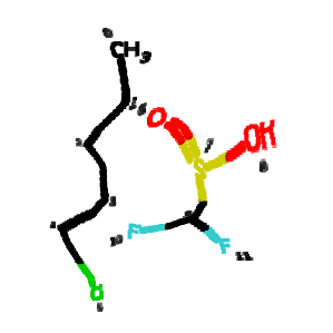 CCCCCCl.O=S(O)C(F)F